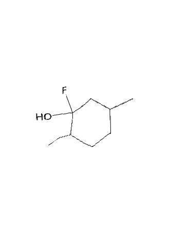 CC1CCC(C)C(O)(F)C1